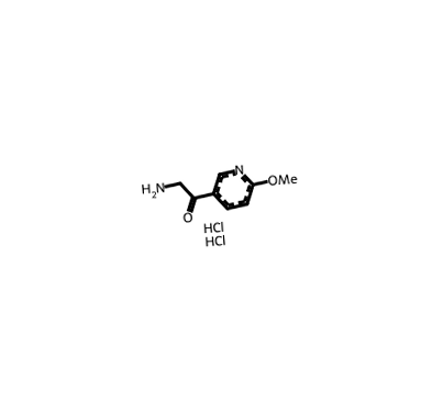 COc1ccc(C(=O)CN)cn1.Cl.Cl